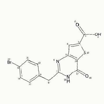 O=C(O)c1cc2nc(Cc3ccc(Br)cc3)[nH]c(=O)c2s1